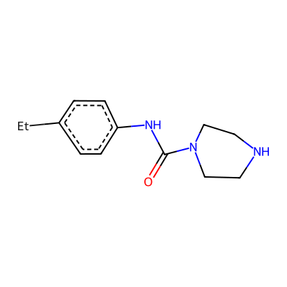 CCc1ccc(NC(=O)N2CCNCC2)cc1